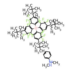 CC(C)(C)[Si](C)(C)C1=CC(F)=C([B-](C2=C(F)C=C([Si](C)(C)C(C)(C)C)C(F)(F)C2F)(C2=C(F)C=C([Si](C)(C)C(C)(C)C)C(F)(F)C2F)C2=C(F)C=C([Si](C)(C)C(C)(C)C)C(F)(F)C2F)C(F)C1(F)F.C[NH+](C)c1ccccc1